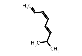 C=C/C=C\C=C\C(C)C